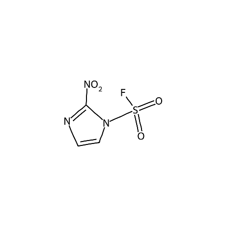 O=[N+]([O-])c1nccn1S(=O)(=O)F